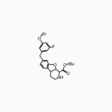 CC(C)Oc1cc(F)cc(Sc2ccc3c(c2)OC2C(C(=O)OC(C)(C)C)NCCC32)c1